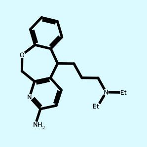 CCN(CC)CCCC1c2ccccc2OCc2nc(N)ccc21